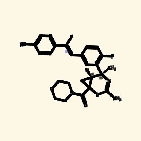 C[C@]1(c2cc(/C=C(\F)c3ccc(C#N)cn3)ccc2F)N=C(N)SC2(C(=O)N3CCOCC3)C[C@H]21